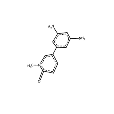 Cn1cc(-c2cc(N)cc(N)c2)ccc1=O